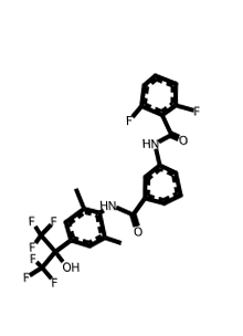 Cc1cc(C(O)(C(F)(F)F)C(F)(F)F)cc(C)c1NC(=O)c1cccc(NC(=O)c2c(F)cccc2F)c1